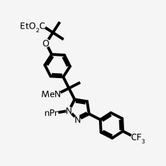 CCCn1nc(-c2ccc(C(F)(F)F)cc2)cc1C(C)(NC)c1ccc(OC(C)(C)C(=O)OCC)cc1